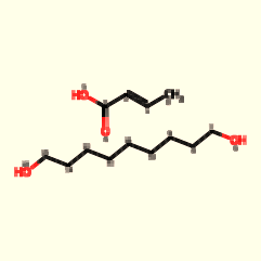 CC=CC(=O)O.OCCCCCCCCCO